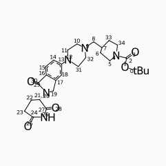 CC(C)(C)OC(=O)N1CCC(CN2CCN(c3ccc4c(c3)CN([C@H]3CCC(=O)NC3=O)C4=O)CC2)CC1